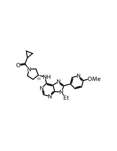 CCn1c(-c2ccc(OC)nc2)nc2c(N[C@H]3CCN(C(=O)C4CC4)C3)ncnc21